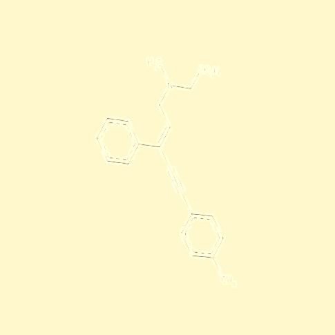 Cc1ccc(C#C/C(=C/CN(C)CC(=O)O)c2ccccc2)cc1